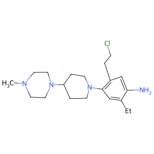 CCc1cc(N2CCC(N3CCN(C)CC3)CC2)c(CCCl)cc1N